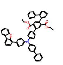 CCOC(=O)c1cc(-c2ccccc2-c2ccccc2)c(C(=O)OCC)cc1-c1ccc(N(c2ccc(-c3ccccc3)cc2)c2ccc(-c3cccc4c3oc3ccccc34)cc2)cc1